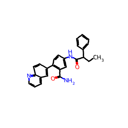 CCC(C(=O)Nc1ccc(-c2ccc3ncccc3c2)c(C(N)=O)c1)c1ccccc1